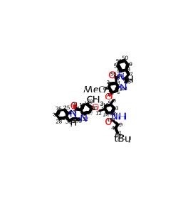 COc1cc2c(cc1OCc1cc(COc3cc4c(cc3C)C(=O)N3c5ccccc5C[C@H]3C=N4)cc(NC(=O)CCCC(C)(C)C)c1)N=C[C@@H]1Cc3ccccc3N1C2=O